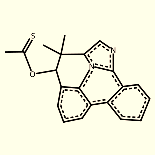 CC(=S)OC1c2cccc3c4ccccc4c4ncc(n4c23)C1(C)C